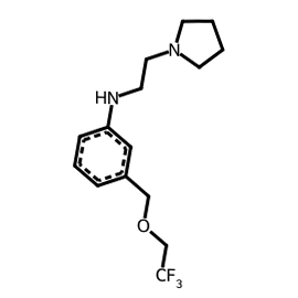 FC(F)(F)COCc1cccc(NCCN2CCCC2)c1